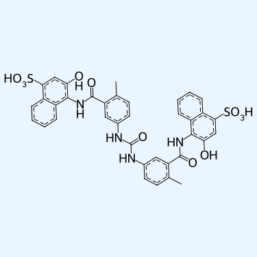 Cc1ccc(NC(=O)Nc2ccc(C)c(C(=O)Nc3c(O)cc(S(=O)(=O)O)c4ccccc34)c2)cc1C(=O)Nc1c(O)cc(S(=O)(=O)O)c2ccccc12